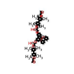 Cc1cc(-c2cc(C)c(OCC3CO3)c(C)c2)cc(C)c1OCC(O)COc1ccc(C(C)(c2ccc(OCC(O)COc3c(C)cc(-c4cc(C)c(OCC5CO5)c(C)c4)cc3C)cc2)P2(=O)Oc3ccccc3-c3ccccc32)cc1